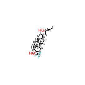 CC#CC(O)C[C@H]1CC[C@H]2[C@@H]3CC[C@@H]4C[C@@](O)(C(F)(F)F)CC[C@]4(C)[C@H]3CC[C@]12C